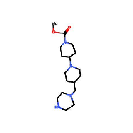 CC(C)(C)OC(=O)N1CCC(N2CCC(CN3CCNCC3)CC2)CC1